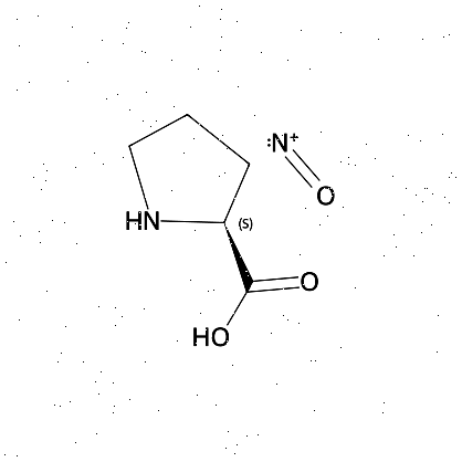 O=C(O)[C@@H]1CCCN1.[N+]=O